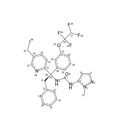 Cn1nccc1NC(=O)N[C@@](Cc1ccccc1)(c1cccc(OC(F)(F)C(F)F)c1)c1ccc(CI)cn1